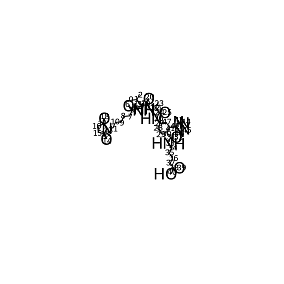 CC(C)[C@H](NC(=O)CCCCCN1C(=O)C=CC1=O)C(=O)N[C@@H](C)C(=O)Nc1ccc(C(=O)NCCCCC(=O)O)c(-c2nnn[nH]2)c1